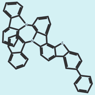 c1ccc(-c2ccc3sc4c(ccc5c4c4cccc(-n6c7ccccc7c7ccccc76)c4n5-c4cccc5ccccc45)c3c2)cc1